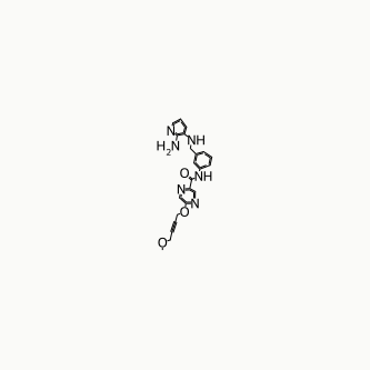 COCC#CCOc1cnc(C(=O)Nc2cccc(CNc3cccnc3N)c2)cn1